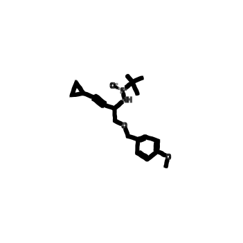 COc1ccc(COCC(C#CC2CC2)N[S@+]([O-])C(C)(C)C)cc1